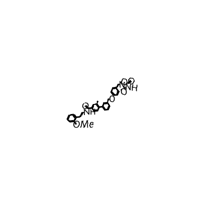 COc1ccccc1CCNC(=O)c1ccc(-c2cccc(COc3ccc(Cn4oc(=O)[nH]c4=O)cc3)c2)c(C)c1